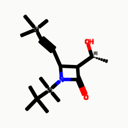 C[C@@H](O)C1C(=O)N([Si](C)(C)C(C)(C)C)C1C#C[Si](C)(C)C